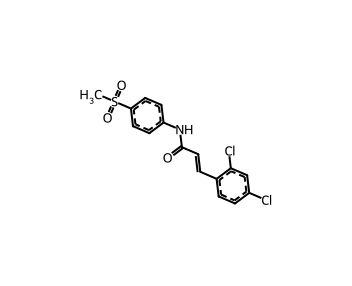 CS(=O)(=O)c1ccc(NC(=O)/C=C/c2ccc(Cl)cc2Cl)cc1